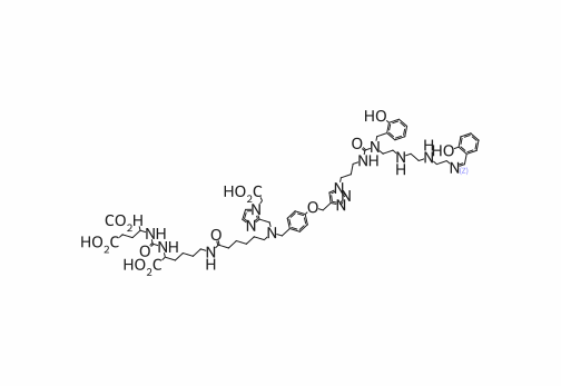 O=C(O)CCC(NC(=O)NC(CCCCNC(=O)CCCCCN(Cc1ccc(OCc2cn(CCCNC(=O)N(CCNCCNCC/N=C\c3ccccc3O)Cc3ccccc3O)nn2)cc1)Cc1nccn1CC(=O)O)C(=O)O)C(=O)O